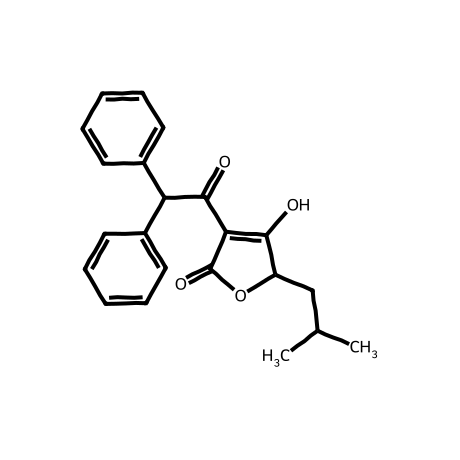 CC(C)CC1OC(=O)C(C(=O)C(c2ccccc2)c2ccccc2)=C1O